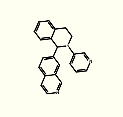 [c]1ccc2c(c1)C(c1ccc3ccncc3c1)N(c1cccnc1)CC2